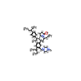 CC(C)CC(c1ccc(C(CC(CC(CC(C)C)N2CCCC2=O)c2ccc(C(CC(C)C)C(C)C)c(CN3CCN(C)CC3)c2)C(C)C)cc1)C(C)C